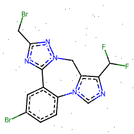 FC(F)c1ncn2c1Cn1nc(CBr)nc1-c1cc(Br)ccc1-2